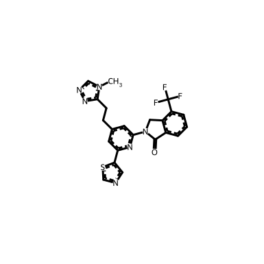 Cn1cnnc1CCc1cc(-c2cncs2)nc(N2Cc3c(cccc3C(F)(F)F)C2=O)c1